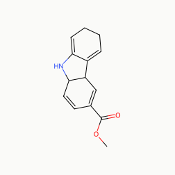 COC(=O)C1=CC2C3=CCCC=C3NC2C=C1